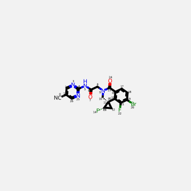 N#Cc1cnc(NC(=O)CN2C[C@@]3(C[C@@H]3F)c3c(ccc(Br)c3F)C2=O)nc1